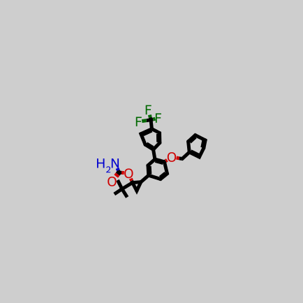 CC(C)(C)C1(OC(N)=O)CC1c1ccc(OCc2ccccc2)c(-c2ccc(C(F)(F)F)cc2)c1